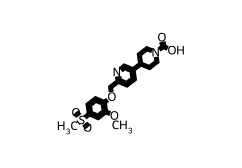 COc1cc(S(C)(=O)=O)ccc1OCc1ccc(C2CCN(C(=O)O)CC2)cn1